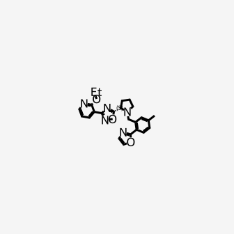 CCOc1ncccc1-c1noc([C@@H]2CCCN2Cc2cc(C)ccc2-c2ncco2)n1